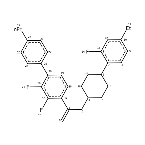 C=C(CC1CCC(c2ccc(CC)cc2F)CC1)c1ccc(-c2ccc(CCC)cc2)c(F)c1F